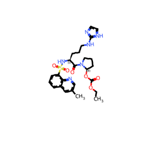 CCOC(=O)O[C@@H]1CCCN1C(=O)[C@H](CCCNc1ncc[nH]1)NS(=O)(=O)c1cccc2cc(C)cnc12